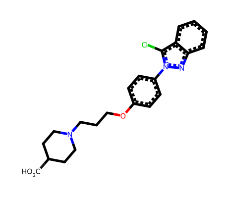 O=C(O)C1CCN(CCCOc2ccc(-n3nc4ccccc4c3Cl)cc2)CC1